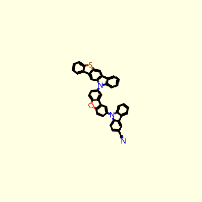 N#Cc1ccc2c(c1)c1ccccc1n2-c1ccc2oc3ccc(-n4c5ccccc5c5cc6sc7ccccc7c6cc54)cc3c2c1